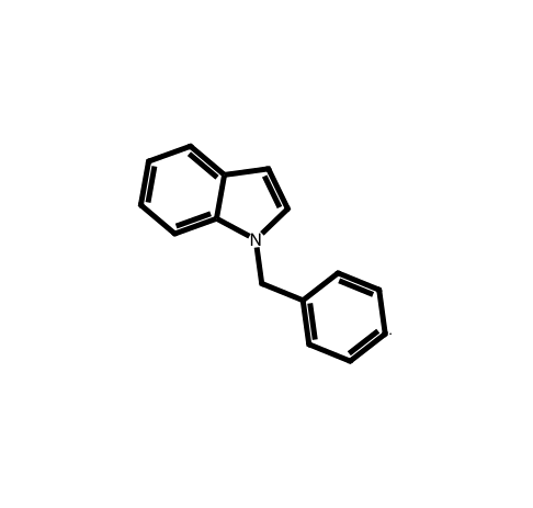 [c]1ccc(Cn2ccc3ccccc32)cc1